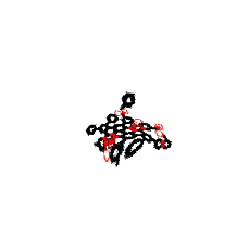 Cc1ccc2c(c1)Oc1cc(C)cc3c1B2c1cc2c(-c4c(-c5ccccc5)cc(-c5ccccc5)cc4-c4ccccc4)cc4c5c(cc6c(-c7c(-c8ccccc8)cc(-c8ccccc8)cc7-c7ccccc7)cc-3c1c6c25)B1c2ccc(C(=O)OCc3ccccc3)cc2Oc2cc(C(=O)OCc3ccccc3)cc-4c21